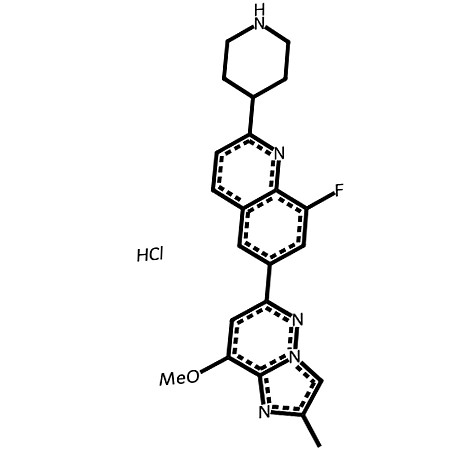 COc1cc(-c2cc(F)c3nc(C4CCNCC4)ccc3c2)nn2cc(C)nc12.Cl